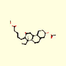 COC(=O)CC[C@@H](C)[C@H]1CC[C@H]2[C@@H]3CC[C@@H]4C[C@H](OC(C)=O)CC[C@]4(C)[C@@]3(C)CC(=O)[C@]12C